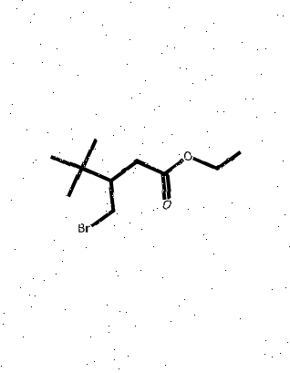 CCOC(=O)CC(CBr)C(C)(C)C